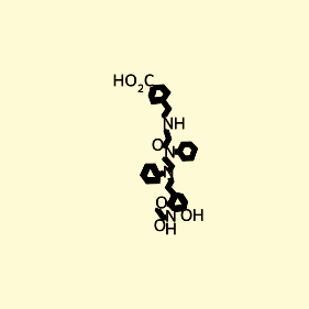 O=C1COc2c(CCN(CCN(C(=O)CCNCCc3ccc(C(=O)O)cc3)C3CCCCC3)c3ccccc3)ccc(O)c2N1